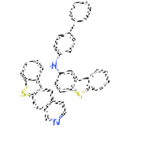 c1ccc(-c2ccc(N(c3ccc4sc5ccccc5c4c3)c3cccc4sc5cc6cnccc6cc5c34)cc2)cc1